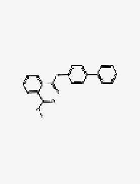 COC(=O)c1ccccc1C(=S)Nc1ccc(-c2ccccc2)cc1